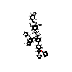 CC(C)c1ccccc1[C@@H]1CCCN1C1CC2(CCN(c3ccc(C(=O)NS(=O)(=O)c4cc5c(c([N+](=O)[O-])c4)N[C@@H]([C@H]4CC[C@](C)(O)CC4)CO5)c(Oc4cc5cc[nH]c5nc4O[C@H]4CCOC4)c3)CC2)C1